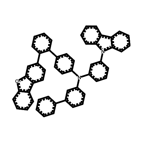 c1ccc(-c2cccc(N(c3ccc(-c4ccccc4-c4ccc5c(c4)oc4ccccc45)cc3)c3cccc(-n4c5ccccc5c5ccccc54)c3)c2)cc1